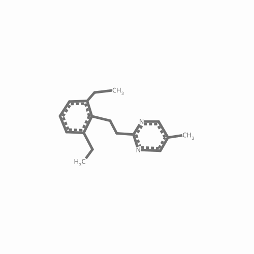 CCc1cccc(CC)c1CCc1ncc(C)cn1